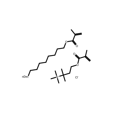 C=C(C)C(=O)OCCC(C)(C)[N+](C)(C)C.C=C(C)C(=O)OCCCCCCCCCCCCCCCCCC.[Cl-]